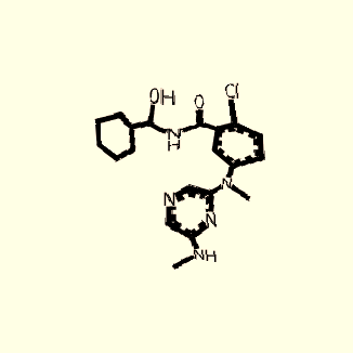 CNc1cncc(N(C)c2ccc(Cl)c(C(=O)NC(O)C3CCCCC3)c2)n1